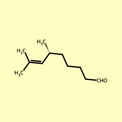 CC(C)=C[C@H](C)CCCCC=O